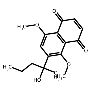 CCCC(C)(O)c1cc(OC)c2c(c1OC)C(=O)C=CC2=O